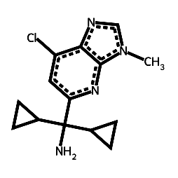 Cn1cnc2c(Cl)cc(C(N)(C3CC3)C3CC3)nc21